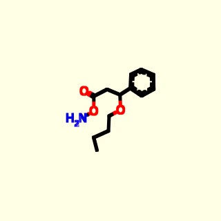 CCCCOC(CC(=O)ON)c1ccccc1